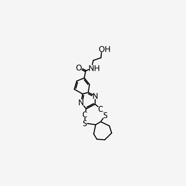 O=C(NCCO)c1ccc2nc3c(nc2c1)CSC1CCCCCC1SC3